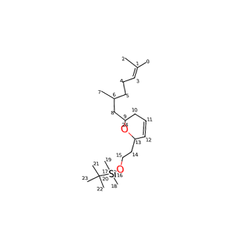 CC(C)=CCCC(C)CC1CC=CC(CCO[Si](C)(C)C(C)(C)C)O1